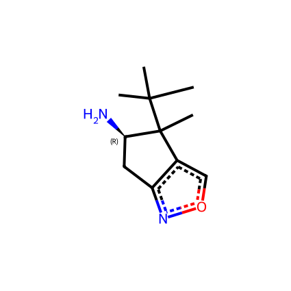 CC(C)(C)C1(C)c2conc2C[C@H]1N